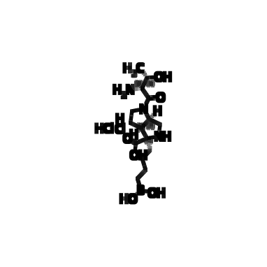 C[C@H](O)[C@@H](N)C(=O)N1CC[C@H]2[C@@H]1CN[C@@]2(CCCCB(O)O)C(=O)O.Cl.Cl